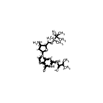 CC(C)C(=O)Nc1nc2c(ncn2C2CC(N)C(CO[Si](C)(C)C(C)(C)C)O2)c(=O)[nH]1